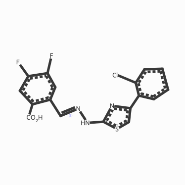 O=C(O)c1cc(F)c(F)cc1/C=N/Nc1nc(-c2ccccc2Cl)cs1